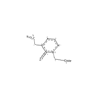 CCOC(=O)Cc1ccnn(COC)c1=O